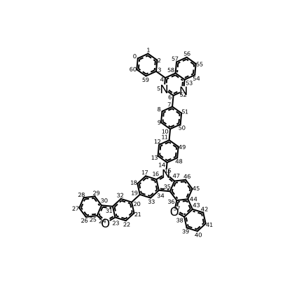 c1ccc(-c2nc(-c3ccc(-c4ccc(-n5c6ccc(-c7ccc8oc9ccccc9c8c7)cc6c6c7oc8ccccc8c7ccc65)cc4)cc3)nc3ccccc23)cc1